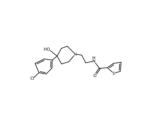 O=C(NCCN1CCC(O)(c2ccc(Cl)cc2)CC1)c1cccs1